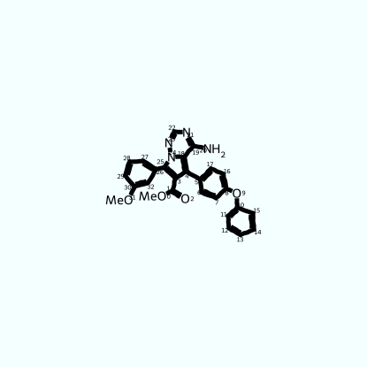 COC(=O)c1c(-c2ccc(Oc3ccccc3)cc2)c2c(N)ncnn2c1-c1cccc(OC)c1